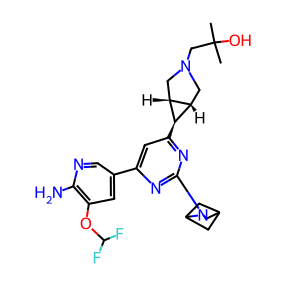 CC(C)(O)CN1C[C@@H]2[C@H](C1)[C@H]2c1cc(-c2cnc(N)c(OC(F)F)c2)nc(N2CC3CC2C3)n1